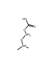 C[SiH](C)O[SiH2]OC(=O)O